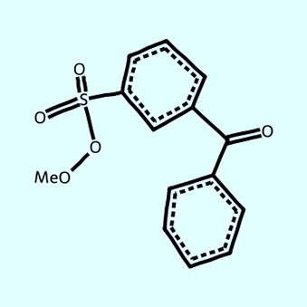 COOS(=O)(=O)c1cccc(C(=O)c2ccccc2)c1